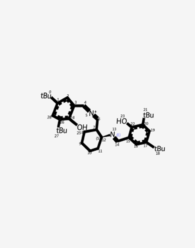 CC(C)(C)c1cc(C=[N+]=CC2CCCC[C@@H]2/N=C/c2cc(C(C)(C)C)cc(C(C)(C)C)c2O)c(O)c(C(C)(C)C)c1